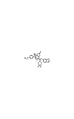 Cc1ccc(S(=O)(=O)N2C[C@@H](F)C[C@H]2C(=O)N(Cc2ccc3ccoc3c2)C2CCC(F)(F)CC2)cc1